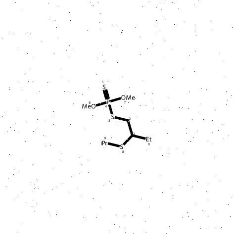 CCC(CSP(=S)(OC)OC)SC(C)C